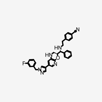 N#Cc1ccc(CCN[C@H](c2ccccc2)[C@@H]2CNc3cc(-c4cnn(Cc5cccc(F)c5)c4)cnc3O2)cc1